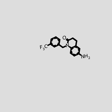 Nc1ccc2c(c1)CCC(=O)N2Cc1cccc(C(F)(F)F)c1